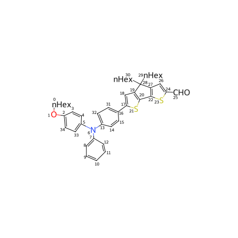 CCCCCCOc1ccc(N(c2ccccc2)c2ccc(-c3cc4c(s3)-c3sc(C=O)cc3C4(CCCCCC)CCCCCC)cc2)cc1